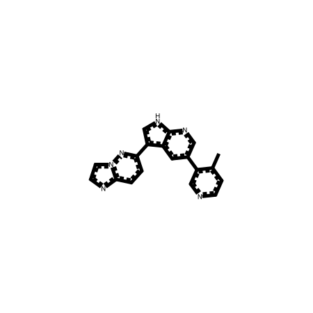 Cc1ccncc1-c1cnc2[nH]cc(-c3ccc4nccn4n3)c2c1